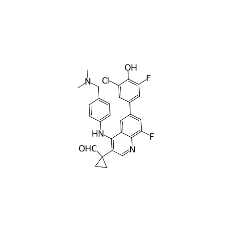 CN(C)Cc1ccc(Nc2c(C3(C=O)CC3)cnc3c(F)cc(-c4cc(F)c(O)c(Cl)c4)cc23)cc1